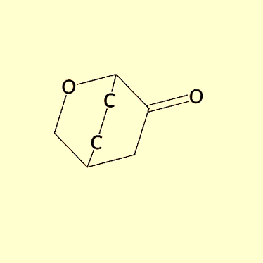 O=C1CC2CCC1OC2